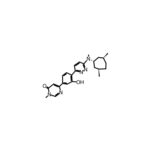 C[C@@H]1CC[C@H](C)C[C@@H](N(C)c2ccc(-c3ccc(-c4cc(=O)n(C)cn4)cc3O)nn2)C1